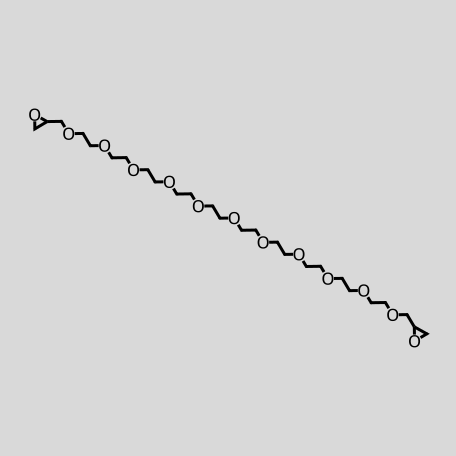 C(COCCOCCOCCOCCOCC1CO1)OCCOCCOCCOCCOCCOCC1CO1